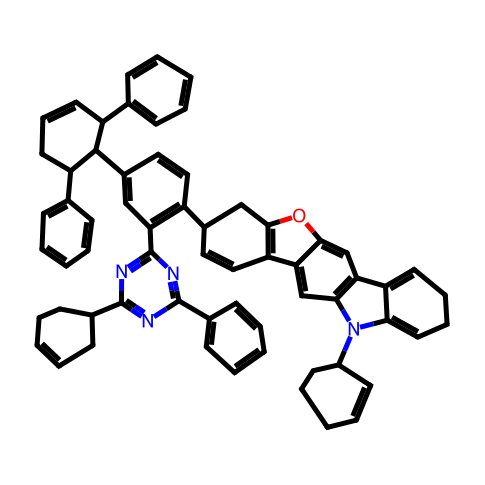 C1=CC(n2c3c(c4cc5oc6c(c5cc42)C=CC(c2ccc(C4C(c5ccccc5)C=CCC4c4ccccc4)cc2-c2nc(-c4ccccc4)nc(C4CC=CCC4)n2)C6)=CCCC=3)CCC1